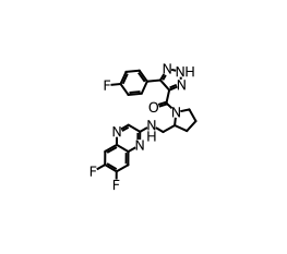 O=C(c1n[nH]nc1-c1ccc(F)cc1)N1CCCC1CNc1cnc2cc(F)c(F)cc2n1